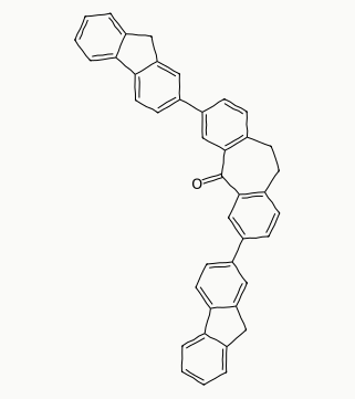 O=C1c2cc(-c3ccc4c(c3)Cc3ccccc3-4)ccc2CCc2ccc(-c3ccc4c(c3)Cc3ccccc3-4)cc21